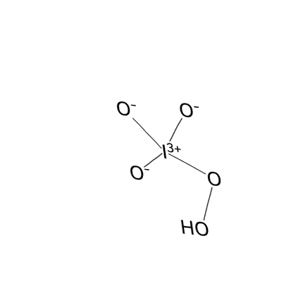 [O-][I+3]([O-])([O-])OO